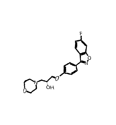 O[C@@H](COc1ccc(-c2noc3cc(F)ccc23)cc1)CN1CCOCC1